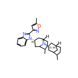 Cc1cc(-c2nc3ccccc3n2[C@H]2CC3C(C)CC[C@@H](C2)N3[C@@H]2CC3C[C@@H](CCC3C)C2)no1